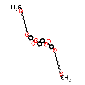 C=COCCCCCCCCCCCOc1ccc(C(=O)Oc2cccc3c(OC(=O)c4ccc(OCCCCCCCCCCCOC=C)cc4)cccc23)cc1